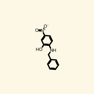 O=[N+]([O-])c1ccc(NCc2ccccc2)c(O)c1